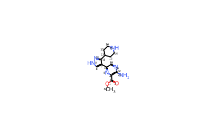 COC(=O)c1nc(-c2c[nH]nc2C2CCNCC2)cnc1N